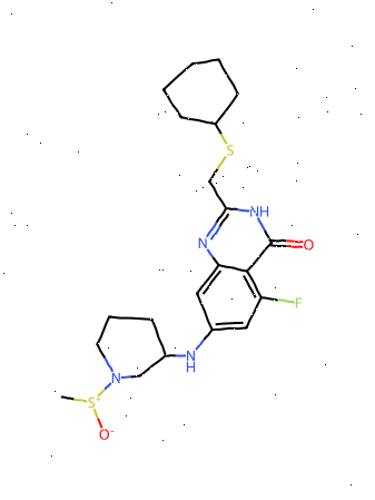 C[S+]([O-])N1CCCC(Nc2cc(F)c3c(=O)[nH]c(CSC4CCCCC4)nc3c2)C1